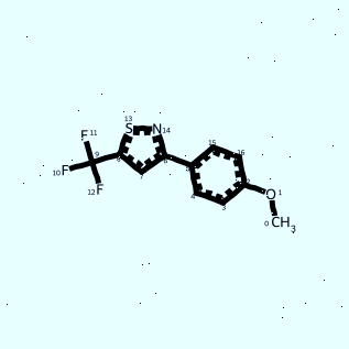 COc1ccc(-c2[c]c(C(F)(F)F)sn2)cc1